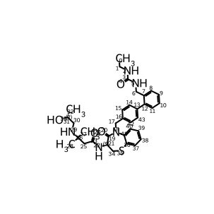 CCNC(=O)NCc1ccccc1-c1ccc(CN2C(=O)[C@H](NC(=O)CC(C)(C)NC[C@@H](C)O)CSc3ccccc32)cc1